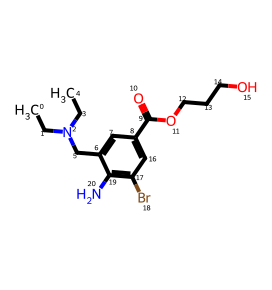 CCN(CC)Cc1cc(C(=O)OCCCO)cc(Br)c1N